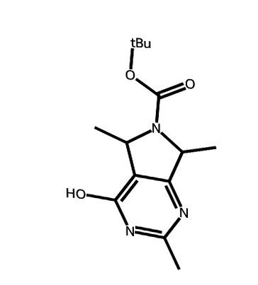 Cc1nc(O)c2c(n1)C(C)N(C(=O)OC(C)(C)C)C2C